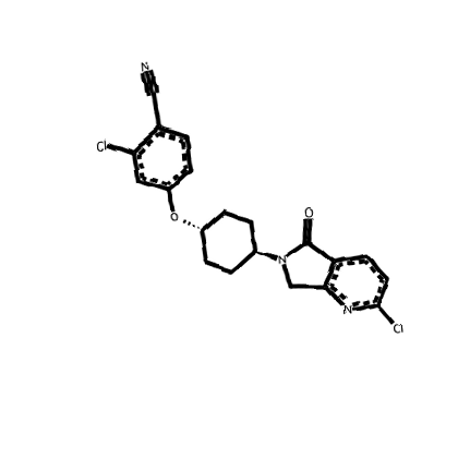 N#Cc1ccc(O[C@H]2CC[C@H](N3Cc4nc(Cl)ccc4C3=O)CC2)cc1Cl